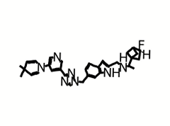 CC(NCc1cc2ccc(Cn3cnc(-c4cncc(N5C=CC(C)(C)C=C5)c4)n3)cc2[nH]1)C12CC(C1)[C@@H](F)C2